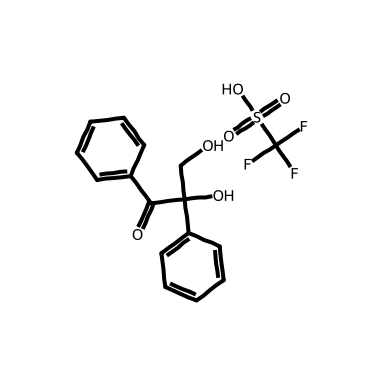 O=C(c1ccccc1)C(O)(CO)c1ccccc1.O=S(=O)(O)C(F)(F)F